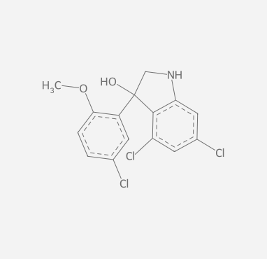 COc1ccc(Cl)cc1C1(O)CNc2cc(Cl)cc(Cl)c21